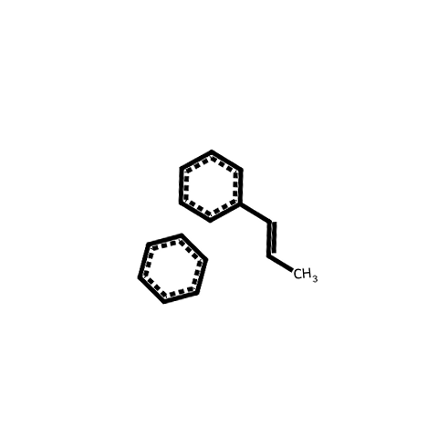 CC=Cc1ccccc1.c1ccccc1